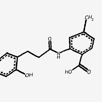 Cc1ccc(C(=O)O)c(NC(=O)CCc2ccccc2O)c1